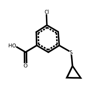 O=C(O)c1cc(Cl)cc(SC2CC2)c1